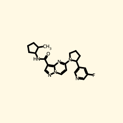 CC1CCCC1NC(=O)c1cnn2ccc(N3CCCC3c3cncc(F)c3)nc12